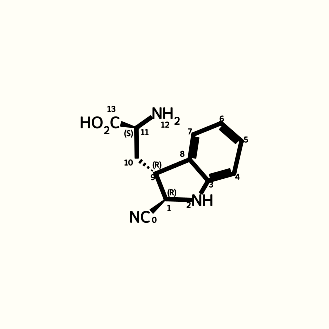 N#C[C@@H]1Nc2ccccc2[C@H]1C[C@H](N)C(=O)O